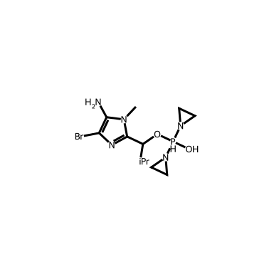 CC(C)C(O[PH](O)(N1CC1)N1CC1)c1nc(Br)c(N)n1C